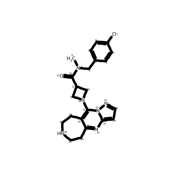 CN(Cc1ccc(Cl)cc1)C(=O)C1CN(c2c3c(nc4ccnn24)CCNCC3)C1